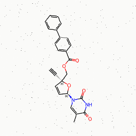 C#C[C@@]1(COC(=O)c2ccc(-c3ccccc3)cc2)C=C[C@H](n2cc(C)c(=O)[nH]c2=O)O1